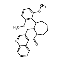 COc1cccc(OC)c1C1CCCCC(C=O)N1Cc1cnc2ccccc2c1